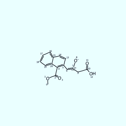 COC(=O)c1c(/C=[N+](\[O-])CC(=O)O)ccc2ccccc12